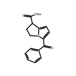 COC(=S)C1CCn2c(C(=O)c3ccccc3)ccc21